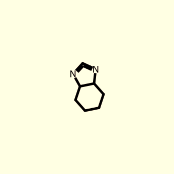 C1=NC2CCCCC2N=1